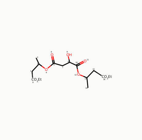 CCOC(=O)CC(C)OC(=O)CC(O)C(=O)OC(C)CC(=O)OCC